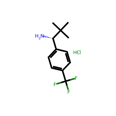 CC(C)(C)[C@@H](N)c1ccc(C(F)(F)F)cc1.Cl